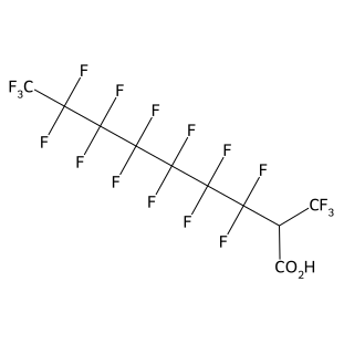 O=C(O)C(C(F)(F)F)C(F)(F)C(F)(F)C(F)(F)C(F)(F)C(F)(F)C(F)(F)C(F)(F)F